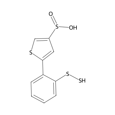 O=S(O)c1csc(-c2ccccc2SS)c1